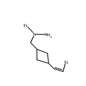 CC/C=C\C1CC(CN(N)CC)C1